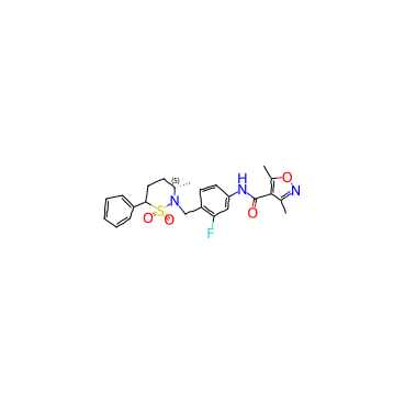 Cc1noc(C)c1C(=O)Nc1ccc(CN2[C@@H](C)CCC(c3ccccc3)S2(=O)=O)c(F)c1